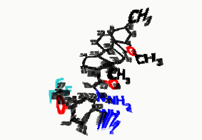 COCC12CCC(C)CC1CCC1C3CCC(C(=O)CN(N)c4cc(OC(F)(F)F)ccc4N)C3(C)CCC12